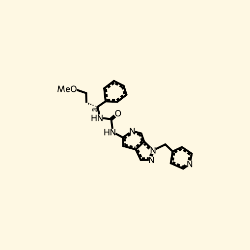 COCC[C@@H](NC(=O)Nc1cc2cnn(Cc3ccncc3)c2cn1)c1ccccc1